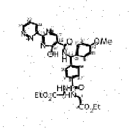 CCOC(=O)CNP(=O)(NCC(=O)OCC)c1ccc(C(NC(=O)c2cnc(-c3cccnn3)nc2O)c2ccc(OC)cc2)cc1